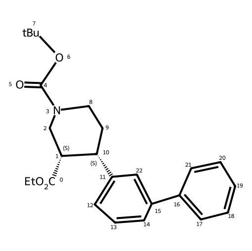 CCOC(=O)[C@@H]1CN(C(=O)OC(C)(C)C)CC[C@@H]1c1cccc(-c2ccccc2)c1